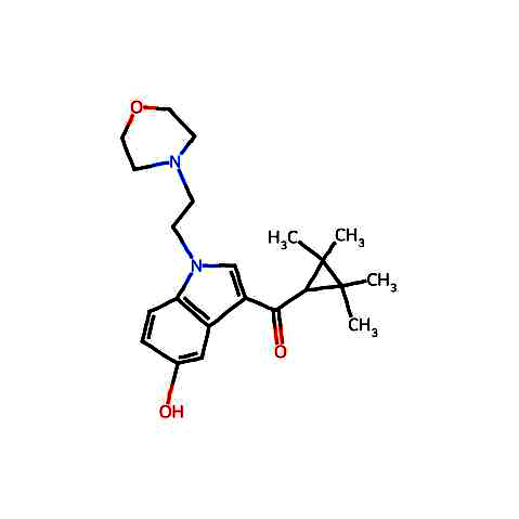 CC1(C)C(C(=O)c2cn(CCN3CCOCC3)c3ccc(O)cc23)C1(C)C